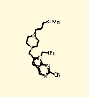 COCCCN1CCN(Cc2cc3cnc(C#N)nc3n2CC(C)(C)C)CC1